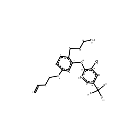 C=CCCOc1ccc(CCCO)c(Oc2ncc(C(F)(F)F)cc2Cl)c1